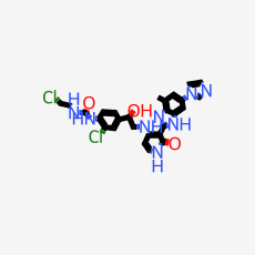 Cc1cc(-n2ccnc2)cc2[nH]c(-c3c(NCC(O)c4ccc(NC(=O)NCCCl)c(Cl)c4)cc[nH]c3=O)nc12